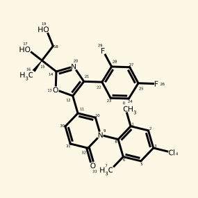 Cc1cc(Cl)cc(C)c1-n1cc(-c2oc([C@](C)(O)CO)nc2-c2ccc(F)cc2F)ccc1=O